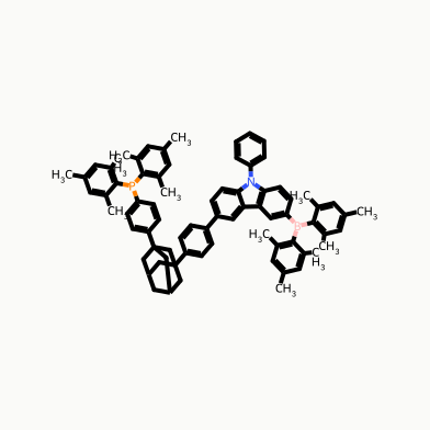 Cc1cc(C)c(B(c2ccc3c(c2)c2cc(-c4ccc(C56CC7CC(C5)CC(c5ccc(P(c8c(C)cc(C)cc8C)c8c(C)cc(C)cc8C)cc5)(C7)C6)cc4)ccc2n3-c2ccccc2)c2c(C)cc(C)cc2C)c(C)c1